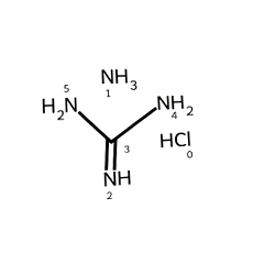 Cl.N.N=C(N)N